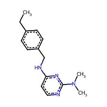 CCc1ccc(CNc2ccnc(N(C)C)n2)cc1